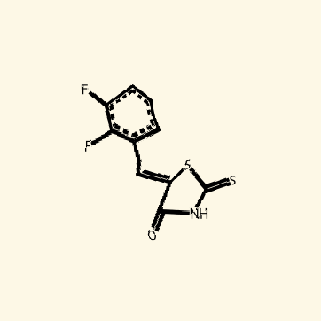 O=C1NC(=S)S/C1=C\c1cccc(F)c1F